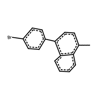 Cc1ccc(-c2ccc(Br)cc2)c2ccccc12